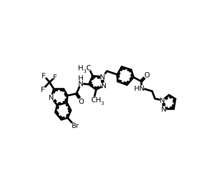 Cc1nn(Cc2ccc(C(=O)NCCn3cccn3)cc2)c(C)c1NC(=O)c1cc(C(F)(F)F)nc2ccc(Br)cc12